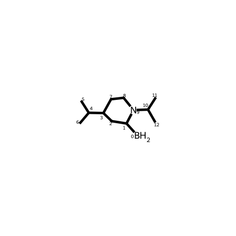 BC1CC(C(C)C)CCN1C(C)C